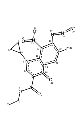 CCOC(=O)c1cn(C2CC2)c2c([N+](=O)[O-])c(N=[N+]=[N-])c(F)cc2c1=O